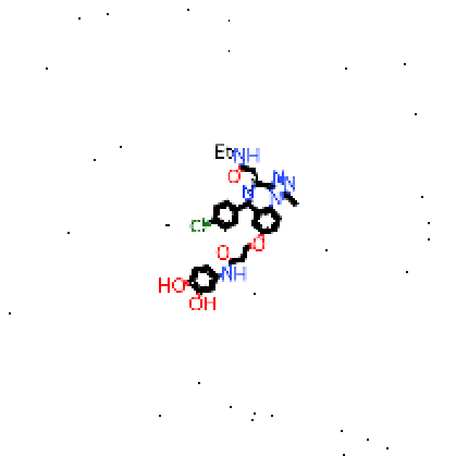 CCNC(=O)C[C@@H]1N=C(c2ccc(Cl)cc2)c2cc(OCCC(=O)Nc3ccc(O)c(O)c3)ccc2-n2c(C)nnc21